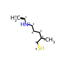 C=CNCCCC(C)CS